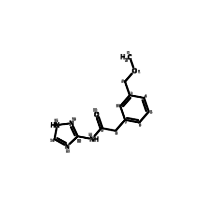 COCc1cccc(CC(=O)Nc2nc[nH]n2)c1